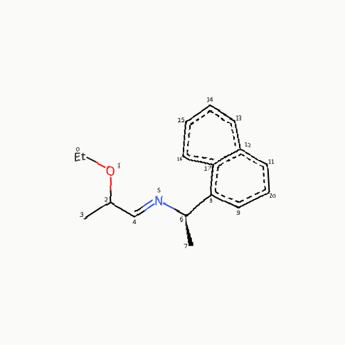 CCOC(C)/C=N/[C@H](C)c1cccc2ccccc12